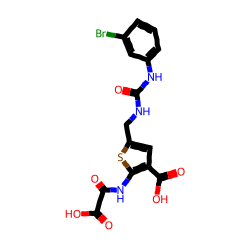 O=C(NCc1cc(C(=O)O)c(NC(=O)C(=O)O)s1)Nc1cccc(Br)c1